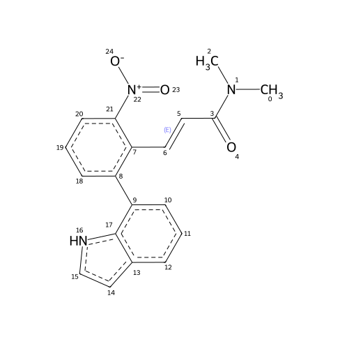 CN(C)C(=O)/C=C/c1c(-c2cccc3cc[nH]c23)cccc1[N+](=O)[O-]